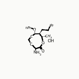 CCCO[C@H]1CCC[C@H](N)C(=O)O[C@@H](C)[C@@H]1CCC(C)C.Cl